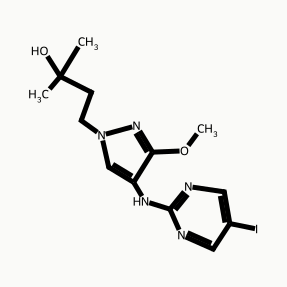 COc1nn(CCC(C)(C)O)cc1Nc1ncc(I)cn1